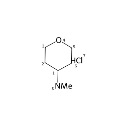 CNC1CCOCC1.Cl